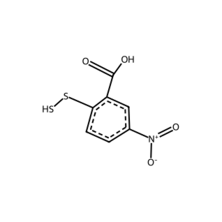 O=C(O)c1cc([N+](=O)[O-])ccc1SS